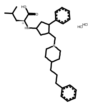 CC(C)C[C@H](NC1CC(CN2CCC(CCCc3ccccc3)CC2)C(c2ccccc2)C1)C(=O)O.Cl.Cl